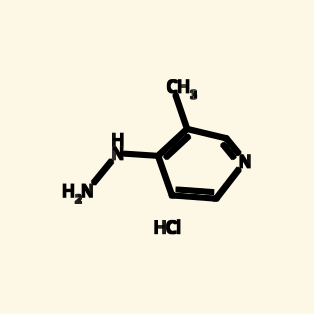 Cc1cnccc1NN.Cl